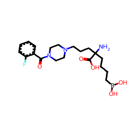 NC(CCCCB(O)O)(CCCN1CCN(C(=O)c2ccccc2F)CC1)C(=O)O